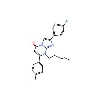 CCCCCn1c(-c2ccc(CC)cc2)cc(=O)n2cc(-c3ccc(Cl)cc3)nc12